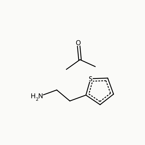 CC(C)=O.NCCc1cccs1